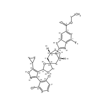 CCOC(=O)c1cc(F)c2nc(N3[C@@H]4CC[C@H]3C[C@]3(COC(c5c(-c6c(Cl)cccc6Cl)noc5C5CC5)O3)C4)sc2c1